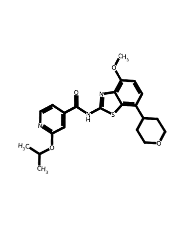 COc1ccc(C2CCOCC2)c2sc(NC(=O)c3ccnc(OC(C)C)c3)nc12